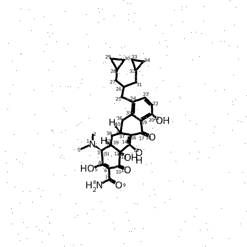 CN(C)[C@@H]1C(O)=C(C(N)=O)C(=O)[C@@]2(O)C(O)=C3C(=O)c4c(O)ccc(CC(CC5CC5)CC5CC5)c4C[C@H]3C[C@@H]12